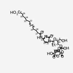 CC[C@@H](O[C@@H](CO)COP(=O)(O)OP(=O)(O)OP(=O)(O)O)n1ccc(NC(=O)CCCSSCCCCCC(=O)O)nc1=O